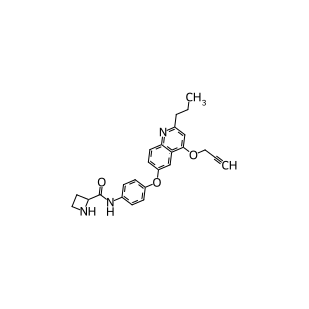 C#CCOc1cc(CCC)nc2ccc(Oc3ccc(NC(=O)C4CCN4)cc3)cc12